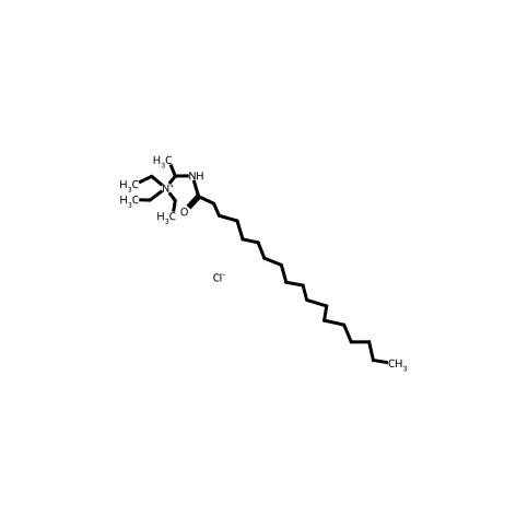 CCCCCCCCCCCCCCCCCC(=O)NC(C)[N+](CC)(CC)CC.[Cl-]